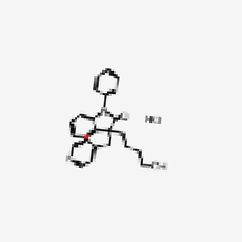 Cl.O=C1N(c2ccccc2)c2ccccc2C1(CCCCO)Cc1ccncc1